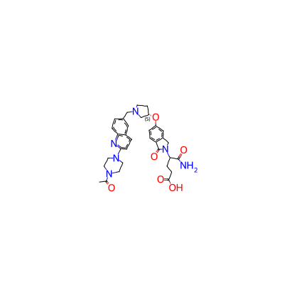 CC(=O)N1CCN(c2ccc3cc(CN4CC[C@H](Oc5ccc6c(c5)CN(C(CCC(=O)O)C(N)=O)C6=O)C4)ccc3n2)CC1